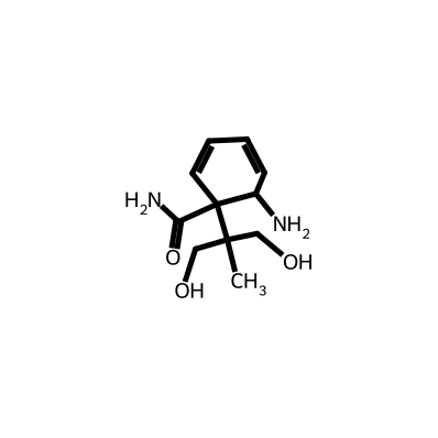 CC(CO)(CO)C1(C(N)=O)C=CC=CC1N